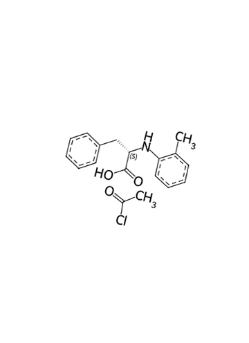 CC(=O)Cl.Cc1ccccc1N[C@@H](Cc1ccccc1)C(=O)O